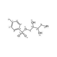 Cc1ccc(S(=O)(=O)OCC(O)C(O)CC(C)C)cc1